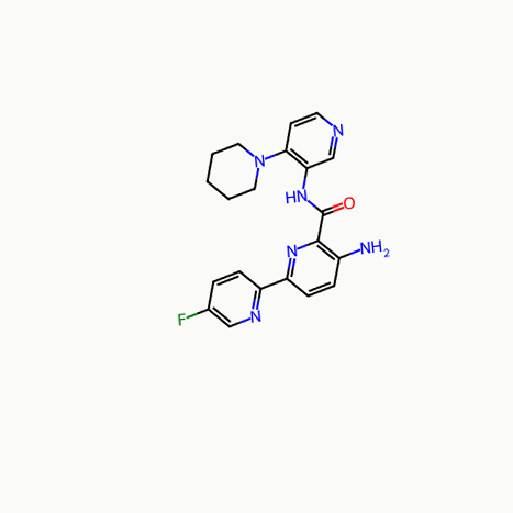 Nc1ccc(-c2ccc(F)cn2)nc1C(=O)Nc1cnccc1N1CCCCC1